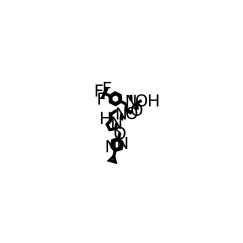 CN(C(=O)O)C(C(=O)N1CC[C@@H]2CC[C@H](Oc3cnc(C4CC4)cn3)N2C1)c1ccc(C(F)(F)F)cc1